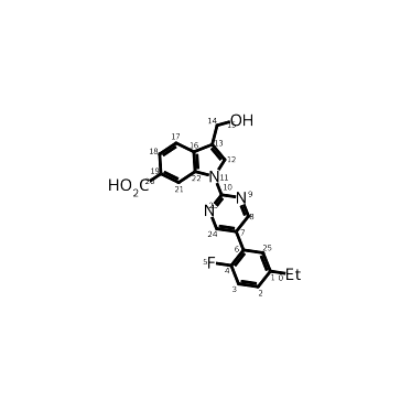 CCc1ccc(F)c(-c2cnc(-n3cc(CO)c4ccc(C(=O)O)cc43)nc2)c1